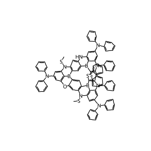 CSN1c2cc3c(cc2B2c4cc5c(cc4Oc4cc(N(c6ccccc6)c6ccccc6)cc1c42)N(SC)c1cc(N(c2ccccc2)c2ccccc2)cc2c1B5c1sc4ccccc4c1N2c1ccccc1)B1c2sc4ccccc4c2N(c2ccccc2)c2cc(N(c4ccccc4)c4ccccc4)cc(c21)N3